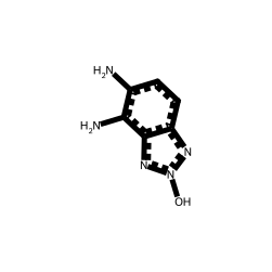 Nc1ccc2nn(O)nc2c1N